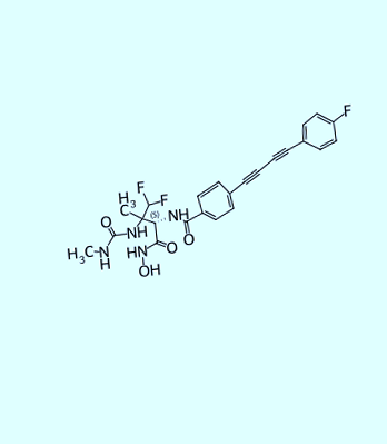 CNC(=O)NC(C)(C(F)F)[C@H](NC(=O)c1ccc(C#CC#Cc2ccc(F)cc2)cc1)C(=O)NO